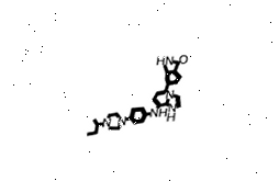 CCC(C)N1CCN(c2ccc(NC3=CC=C(c4ccc5c(c4)CNC5=O)N4C=CNC34)cc2)CC1